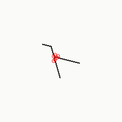 CCCCCCCC/C=C\CCCCCCCC(=O)O[C@H](COC(=O)CCCCCCCCCCCCCCCCC)COC(=O)CCCCCCCCCCCCCCCCCCCCC